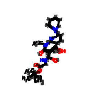 Cn1c(=O)c(C(=O)NCC(=O)OC(C)(C)C)c(O)c2ccc(N3CCCCC3)nc21